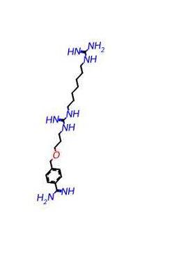 N=C(N)NCCCCCCCNC(=N)NCCCOCc1ccc(C(=N)N)cc1